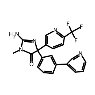 CN1C(=O)C(c2ccc(C(F)(F)F)nc2)(c2cccc(-c3cccnc3)c2)N=C1N